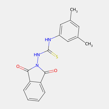 Cc1cc(C)cc(NC(=S)NN2C(=O)c3ccccc3C2=O)c1